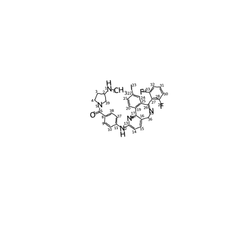 CNC1CCN(C(=O)c2ccc(Nc3ccc4c(n3)-c3ccc(I)cc3C(c3c(F)cccc3F)=NC4)cc2)C1